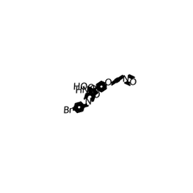 O=C(NO)C1(S(=O)(=O)c2ccc(OCC#CCN3CCOCC3)cc2)CCN(Cc2ccc(Br)cc2)CC1